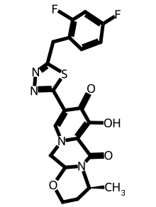 C[C@H]1CCOC2Cn3cc(-c4nnc(Cc5ccc(F)cc5F)s4)c(=O)c(O)c3C(=O)N21